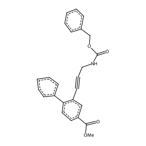 COC(=O)c1ccc(-c2ccccc2)c(C#CCNC(=O)OCc2ccccc2)c1